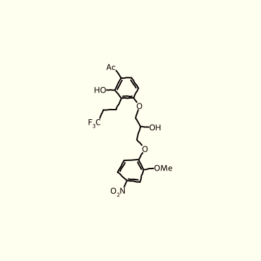 COc1cc([N+](=O)[O-])ccc1OCC(O)COc1ccc(C(C)=O)c(O)c1CCC(F)(F)F